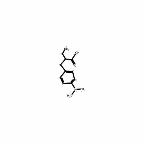 CN(C)c1ccc(CC(CN)C(=O)O)cc1